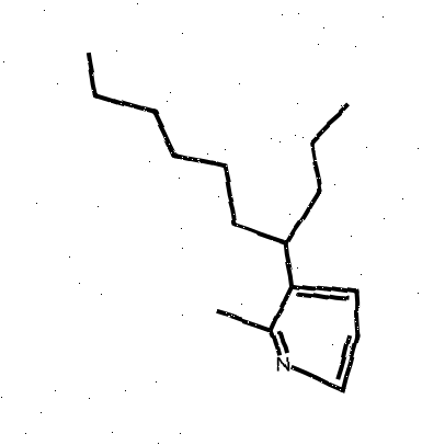 CCCCCCC(CCC)c1cccnc1C